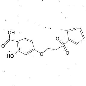 Cc1ccccc1S(=O)(=O)CCOc1ccc(C(=O)O)c(O)c1